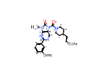 COCCC1CCN(C(=O)n2c(=O)n(C)c3nc(-c4cccc(OC)c4)ncc32)CC1